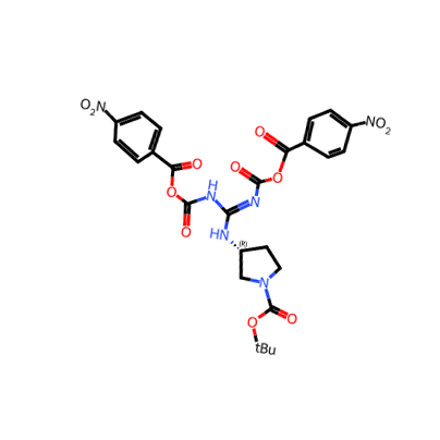 CC(C)(C)OC(=O)N1CC[C@@H](NC(=NC(=O)OC(=O)c2ccc([N+](=O)[O-])cc2)NC(=O)OC(=O)c2ccc([N+](=O)[O-])cc2)C1